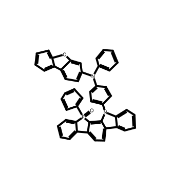 O=P1(c2ccccc2)c2ccccc2-c2ccc3c4ccccc4n(-c4ccc(N(c5ccccc5)c5ccc6c(c5)oc5ccccc56)cc4)c3c21